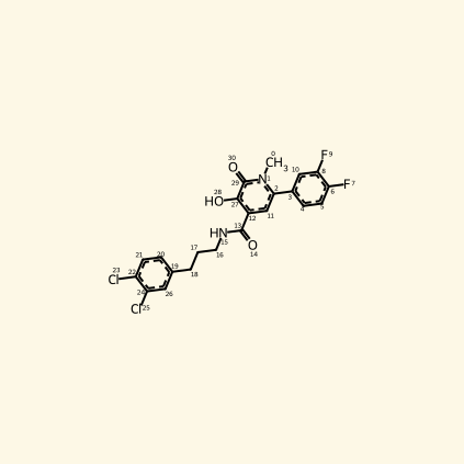 Cn1c(-c2ccc(F)c(F)c2)cc(C(=O)NCCCc2ccc(Cl)c(Cl)c2)c(O)c1=O